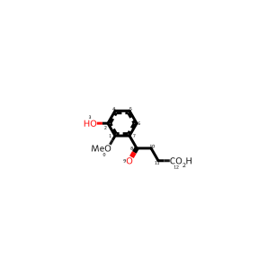 COc1c(O)cccc1C(=O)CCC(=O)O